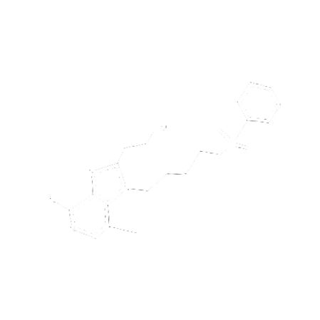 COCCc1nc2c(N)ncc(C)c2n1CCCCCS(=O)(=O)c1ccccc1